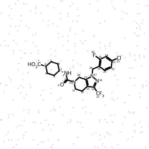 O=C(N[C@H]1CC[C@H](C(=O)O)CC1)N1CCc2c(C(F)(F)F)nn(Cc3ccc(Cl)cc3F)c2C1